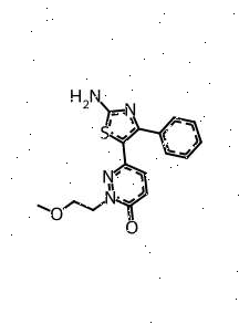 COCCn1nc(-c2sc(N)nc2-c2ccccc2)ccc1=O